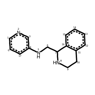 c1cncc(NCC2NCCc3ccccc32)c1